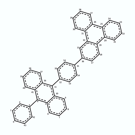 c1ccc(-c2c3ccccc3c(-c3ccc(-c4ccc5c6ccccc6c6ccccc6c5c4)cc3)c3ccccc23)cc1